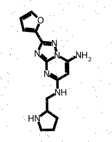 Nc1cc(NCC2CCCN2)nc2nc(-c3ccco3)nn12